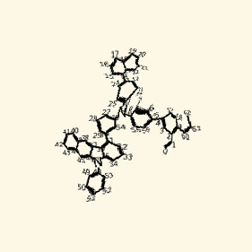 C=Cc1cc(-c2ccc(N(c3ccc(-c4cccc5ccccc45)cc3)c3cccc(-c4cccc5c4c4cc6ccccc6cc4n5-c4ccccc4)c3)cc2)ccc1/C=C\C